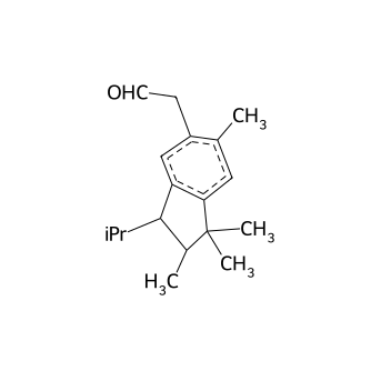 Cc1cc2c(cc1CC=O)C(C(C)C)C(C)C2(C)C